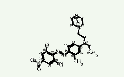 CCN(CC[N+]12CCN(CC1)CC2)c1ccc(N=Nc2c(Cl)cc([N+](=O)[O-])cc2Cl)c(C)c1